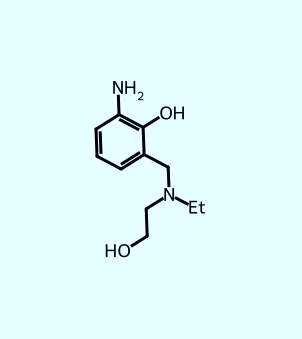 CCN(CCO)Cc1cccc(N)c1O